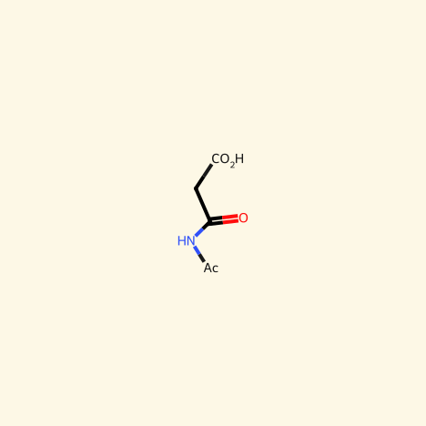 CC(=O)NC(=O)CC(=O)O